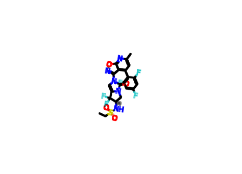 CCS(=O)(=O)N[C@@H]1Cn2c(cn(-c3noc4nc(C)cc(-c5c(F)cc(F)cc5F)c34)c2=O)C1(F)F